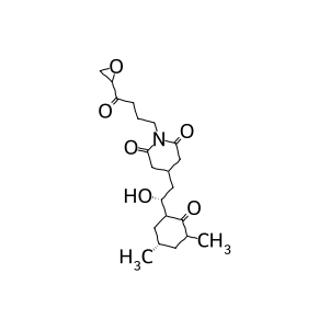 CC1C[C@H](C)CC([C@H](O)CC2CC(=O)N(CCCC(=O)C3CO3)C(=O)C2)C1=O